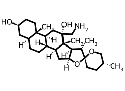 C[C@@H]1CC[C@@]2(OC1)O[C@H]1C[C@H]3[C@@H]4CC[C@H]5C[C@@H](O)CC[C@]5(C)[C@H]4C[C@@](O)(CN)[C@]3(C)[C@H]1[C@@H]2C